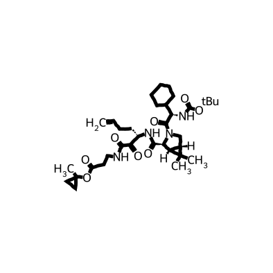 C=CCC[C@H](NC(=O)[C@@H]1[C@@H]2[C@H](CN1C(=O)[C@@H](NC(=O)OC(C)(C)C)C1CCCCC1)C2(C)C)C(=O)C(=O)NCCC(=O)OC1(C)CC1